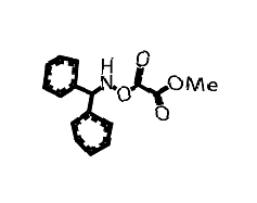 COC(=O)C(=O)ONC(c1ccccc1)c1ccccc1